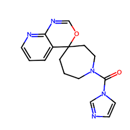 O=C(N1CCCC2(CC1)OC=Nc1ncccc12)n1ccnc1